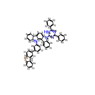 C1=CC2c3ccc4c(c3N(c3cccc(-c5ccc6sc7ccccc7c6c5)c3)C2C=C1)c1ccccc1n4C1N=C(c2ccccc2)N=C(c2ccccc2)N1